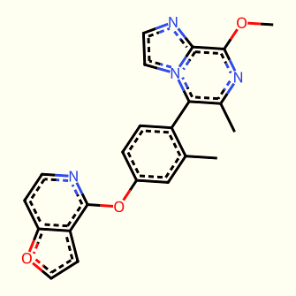 COc1nc(C)c(-c2ccc(Oc3nccc4occc34)cc2C)n2ccnc12